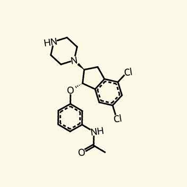 CC(=O)Nc1cccc(O[C@H]2c3cc(Cl)cc(Cl)c3C[C@@H]2N2CCNCC2)c1